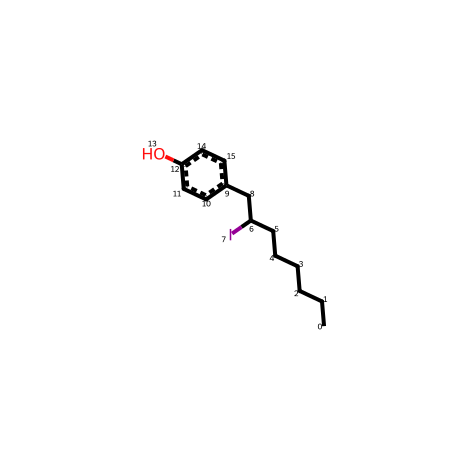 CCCCCCC(I)Cc1ccc(O)cc1